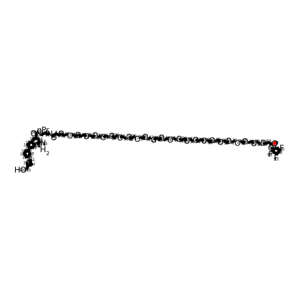 CCCN(CCCNC(=O)CCOCCOCCOCCOCCOCCOCCOCCOCCOCCOCCOCCOCCOCCOCCOCCOCCOCCOCCOCCOCCOCCOCCOCCOCCOCCC(=O)Oc1c(F)c(F)cc(F)c1F)C(=O)C1=Cc2ccc(-c3cccc(SN4CC(CO)C4)c3)cc2N=C(N)C1